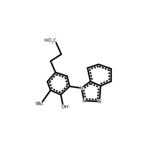 CC(C)(C)c1cc(CCC(=O)O)cc(-n2nnc3ccccc32)c1O